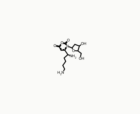 NCCCCC(N)c1cc(=O)oc(=O)n1C1CC(O)C(CO)O1